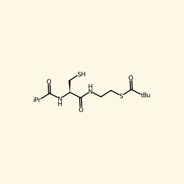 CC(C)C(=O)N[C@@H](CS)C(=O)NCCSC(=O)C(C)(C)C